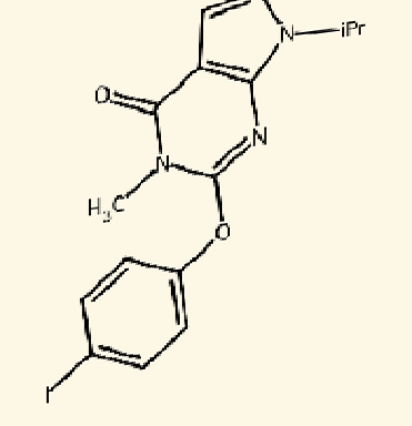 CC(C)n1ncc2c(=O)n(C)c(Oc3ccc(I)cc3)nc21